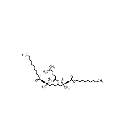 CCCCCCCCCOC(=O)C#CC(C)(C)CCCC(CC(C)(C)C#CC(=O)OCCCCCCCCC)OC(=O)CCCN(C)C